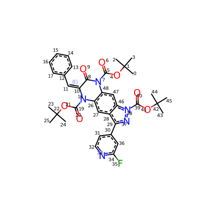 CC(C)(C)OC(=O)N1C(=O)/C(=C\c2ccccc2)N(C(=O)OC(C)(C)C)c2cc3c(-c4ccnc(F)c4)nn(C(=O)OC(C)(C)C)c3cc21